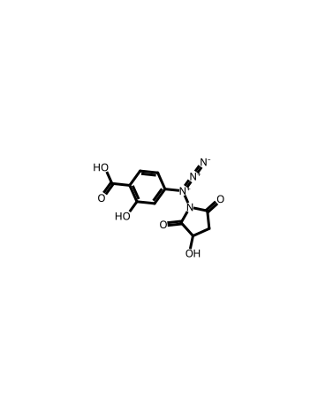 [N-]=[N+]=[N+](c1ccc(C(=O)O)c(O)c1)N1C(=O)CC(O)C1=O